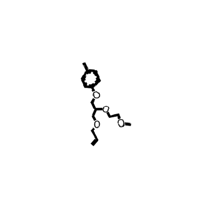 C=CCOCC(COc1ccc(C)cc1)OCCOC